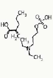 C=C(CCC)C(=O)O.CCN(CC)CCCOS(=O)(=O)O